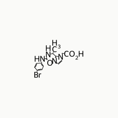 CC(NC(=O)Nc1ccc(Br)cc1)c1nccn1CC(=O)O